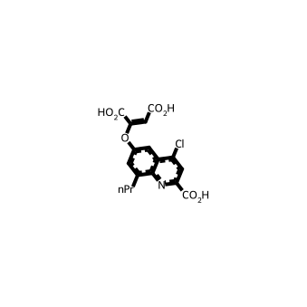 CCCc1cc(OC(=CC(=O)O)C(=O)O)cc2c(Cl)cc(C(=O)O)nc12